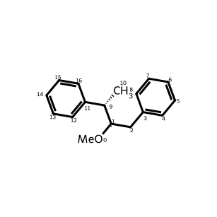 CO[C](Cc1ccccc1)[C@@H](C)c1ccccc1